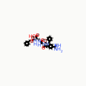 CC1(c2ccc(C(=N)N)cc2)C(=O)N(CC(=O)NC[C@H](NC(=O)OCc2ccccc2)C(=O)O)C(=O)N1Cc1ccccc1